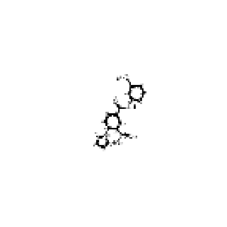 COc1cccc(NC(=O)c2ccc(-n3cccn3)c([N+](=O)O)c2)c1